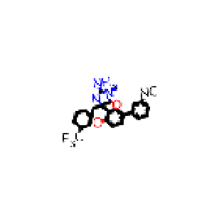 [C-]#[N+]c1cccc(-c2ccc3c(c2)C2(CC4(CCCC(C(F)(F)F)C4)O3)N=C(N)N(C)C2=O)c1